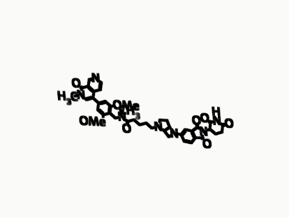 COc1cc(-c2cn(C)c(=O)c3cnccc23)cc(OC)c1CN(C)C(=O)CCCCN1CCC2C1CN2c1ccc2c(c1)C(=O)N(C1CCC(=O)NC1=O)C2=O